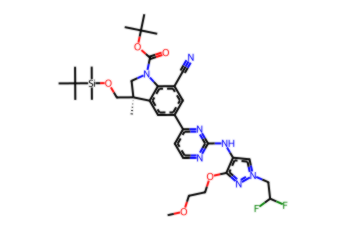 COCCOc1nn(CC(F)F)cc1Nc1nccc(-c2cc(C#N)c3c(c2)[C@@](C)(CO[Si](C)(C)C(C)(C)C)CN3C(=O)OC(C)(C)C)n1